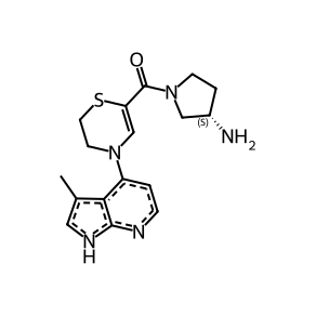 Cc1c[nH]c2nccc(N3C=C(C(=O)N4CC[C@H](N)C4)SCC3)c12